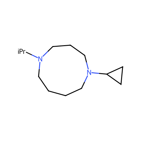 CC(C)N1CCCCN(C2CC2)CCC1